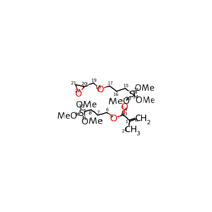 C=C(C)C(=O)OCCC[Si](OC)(OC)OC.CO[Si](CCCOCC1CO1)(OC)OC